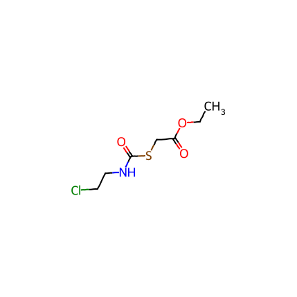 CCOC(=O)CSC(=O)NCCCl